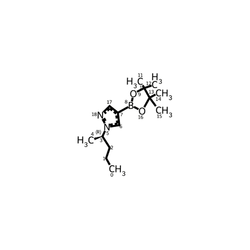 CCC[C@@H](C)n1cc(B2OC(C)(C)C(C)(C)O2)cn1